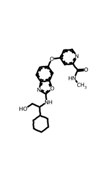 CNC(=O)c1cc(Oc2ccc3nc(NC(CO)C4CCCCC4)oc3c2)ccn1